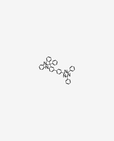 c1ccc(-c2nc(-c3ccccc3)nc(-c3ccc(-c4ccc5c(c4)C(c4ccccc4)(c4ccccc4)c4nc6ccccc6n4-5)cc3)n2)cc1